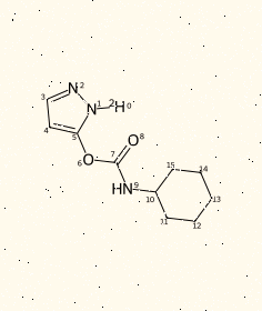 [2H]n1nccc1OC(=O)NC1CCCCC1